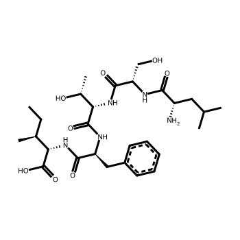 CC[C@H](C)[C@H](NC(=O)[C@H](Cc1ccccc1)NC(=O)[C@@H](NC(=O)[C@H](CO)NC(=O)[C@@H](N)CC(C)C)[C@@H](C)O)C(=O)O